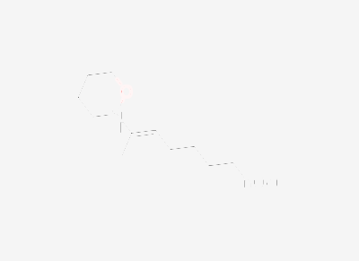 CCCCCCCCCCCCC=C(C)[SiH]1CCCCO1